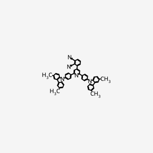 Cc1ccc2c(c1)c1cc(C)ccc1n2-c1ccc(-c2cc(-c3cccc(C#N)c3C#N)cc(-c3ccc(-n4c5ccc(C)cc5c5cc(C)ccc54)cc3)n2)cc1